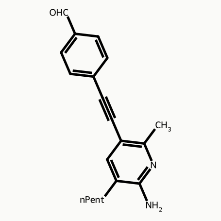 CCCCCc1cc(C#Cc2ccc(C=O)cc2)c(C)nc1N